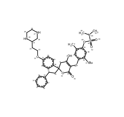 Cc1cc(SC2=C(O)CC(CCc3ccccc3)(c3ccc(OCCC4CNCCN4)cc3)OC2=O)c(C(C)(C)C)cc1OS(=O)(=O)N(C)C